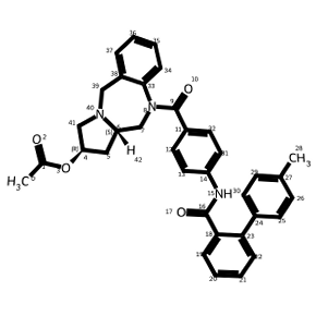 CC(=O)O[C@@H]1C[C@H]2CN(C(=O)c3ccc(NC(=O)c4ccccc4-c4ccc(C)cc4)cc3)c3ccccc3CN2C1